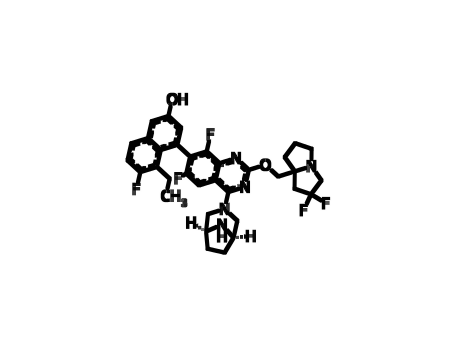 CCc1c(F)ccc2cc(O)cc(-c3c(F)cc4c(N5C[C@H]6CC[C@@H](C5)N6)nc(OCC56CCCN5CC(F)(F)C6)nc4c3F)c12